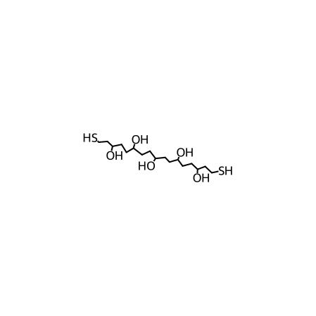 OC(CCS)CCC(O)CCC(O)CCC(O)CCC(O)CCS